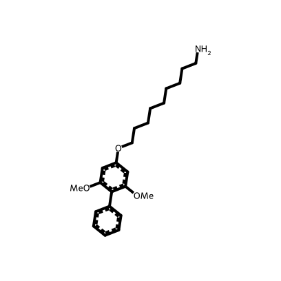 COc1cc(OCCCCCCCCCN)cc(OC)c1-c1ccccc1